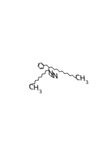 CCCCCCCCCCCC(Cc1ccccc1)C(CCCCCCCCCC)n1ccnc1